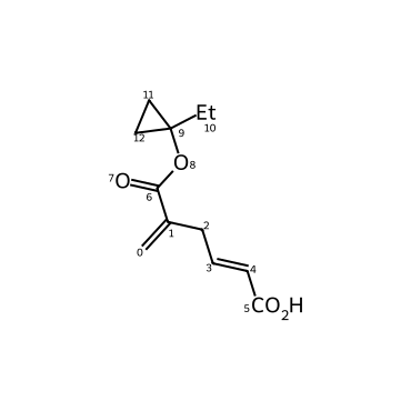 C=C(CC=CC(=O)O)C(=O)OC1(CC)CC1